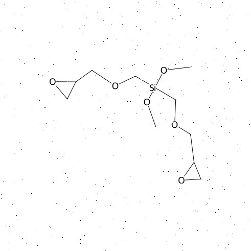 CO[Si](COCC1CO1)(COCC1CO1)OC